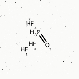 F.F.F.O=[PH3]